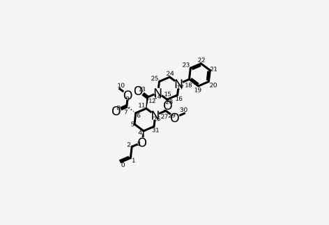 C=CCO[C@H]1C[C@H](C(=O)OC)[C@@H](C(=O)N2CCN(c3ccccc3)CC2)N(C(=O)OC)C1